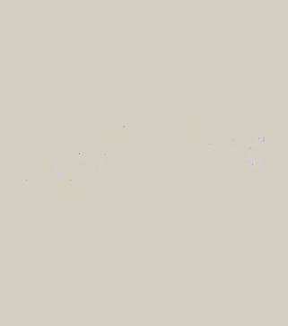 CC(C)N(C(=O)c1ccc(OCCCCCOc2ccc(C(=N)N)cc2)c(Cl)c1)C(C)C.Cl